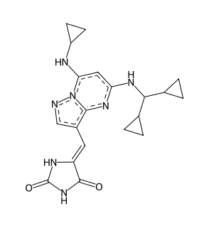 O=C1NC(=O)/C(=C/c2cnn3c(NC4CC4)cc(NC(C4CC4)C4CC4)nc23)N1